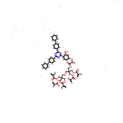 C=C(C)C(=O)OCC(COCC(COC(=O)C(=C)C)(COC(=O)C(=C)C)COC(=O)C(C)Oc1ccc(-c2nc(-c3ccc(-c4ccccc4)cc3)nc(-c3ccc(-c4ccccc4)cc3)n2)c(O)c1)(COC(=O)C(=C)C)COC(=O)C(=C)C